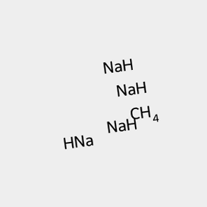 C.[NaH].[NaH].[NaH].[NaH]